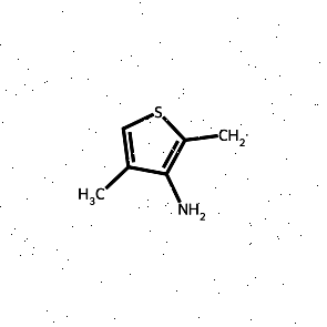 [CH2]c1scc(C)c1N